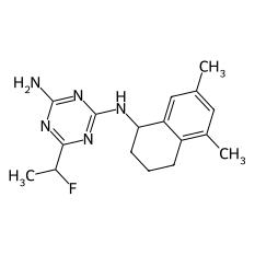 Cc1cc(C)c2c(c1)C(Nc1nc(N)nc(C(C)F)n1)CCC2